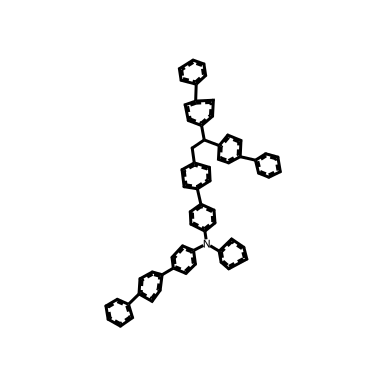 c1ccc(-c2ccc(-c3ccc(N(c4ccccc4)c4ccc(-c5ccc(CC(c6ccc(-c7ccccc7)cc6)c6ccc(-c7ccccc7)cc6)cc5)cc4)cc3)cc2)cc1